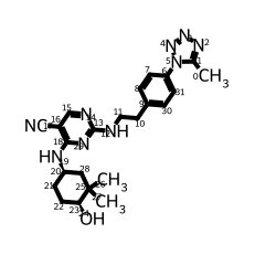 Cc1nnnn1-c1ccc(CCNc2ncc(C#N)c(N[C@@H]3CC[C@H](O)C(C)(C)C3)n2)cc1